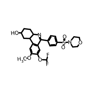 COc1cc2c(cc1OC(F)F)C(c1ccc(S(=O)(=O)N3CCOCC3)cc1)=NC1CCC(O)CC21